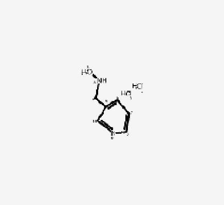 Cl.Cl.ONCc1cccnc1